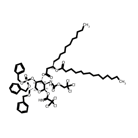 CCCCCCCCCCCCCC(=O)O[C@H](CCCCCCCCCCC)CC(=O)O[C@@H]1[C@@H](NC(=O)OCC(Cl)(Cl)Cl)[C@@H](OC(=N)C(Cl)(Cl)Cl)O[C@H](COCc2ccccc2)[C@H]1OP(=O)(OCc1ccccc1)OCc1ccccc1